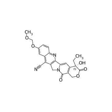 CC[C@@]1(O)C(=O)OCc2c1cc1n(c2=O)Cc2c-1nc1ccc(OCOC)cc1c2C#N